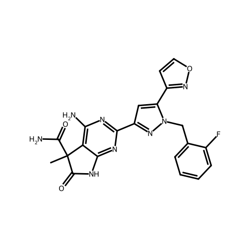 CC1(C(N)=O)C(=O)Nc2nc(-c3cc(-c4ccon4)n(Cc4ccccc4F)n3)nc(N)c21